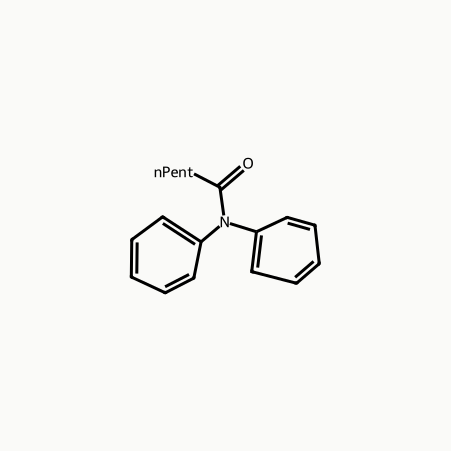 CCCCCC(=O)N(c1ccccc1)c1ccccc1